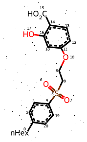 CCCCCCc1ccc(S(=O)(=O)CCOc2ccc(C(=O)O)c(O)c2)cc1